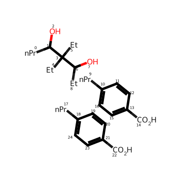 CCCC(O)C(CC)(CC)C(O)CC.CCCc1ccc(C(=O)O)cc1.CCCc1ccc(C(=O)O)cc1